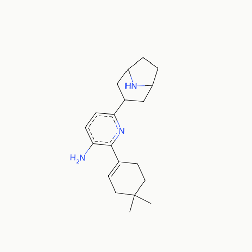 CC1(C)CC=C(c2nc(C3CC4CCC(C3)N4)ccc2N)CC1